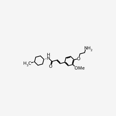 COc1cc(C=CC(=O)N[C@H]2CC[C@H](C)CC2)ccc1OCCN